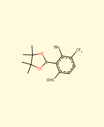 CC(C)(C)c1c(C(F)(F)F)ccc(C=O)c1B1OC(C)(C)C(C)(C)O1